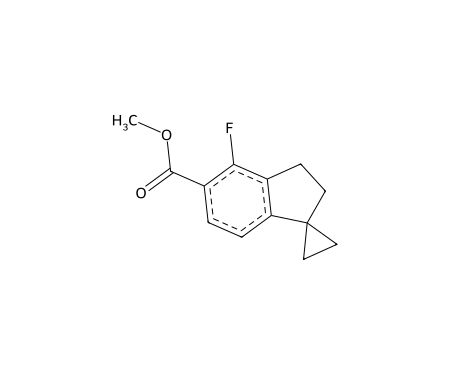 COC(=O)c1ccc2c(c1F)CCC21CC1